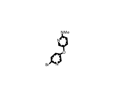 CNc1ccc(Oc2ccc(Br)nc2)cn1